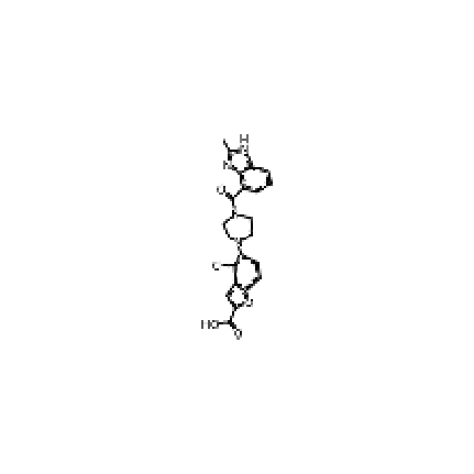 Cc1nc2c(C(=O)N3CCN(c4ccc5oc(C(=O)O)cc5c4Cl)CC3)cccc2[nH]1